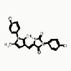 Cc1cc(C=C2SC(=O)N(c3ccc(Cl)cc3)C2=O)c(C)n1-c1ccc(Cl)cc1